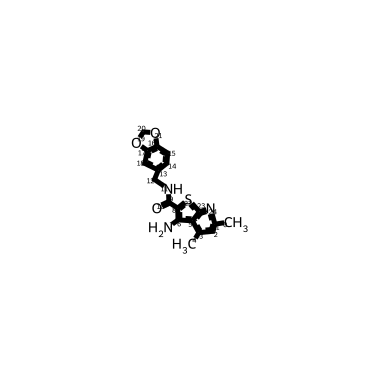 Cc1cc(C)c2c(N)c(C(=O)NCc3ccc4c(c3)OCO4)sc2n1